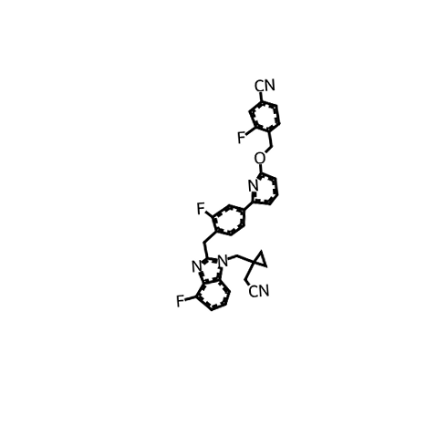 N#CCC1(Cn2c(Cc3ccc(-c4cccc(OCc5ccc(C#N)cc5F)n4)cc3F)nc3c(F)cccc32)CC1